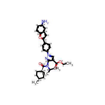 CCOC(=O)c1cn(-c2ccc(-c3cc4cc(N)ccc4o3)cc2)nc1N(C(=O)[C@H]1CC[C@H](C)CC1)C(C)C